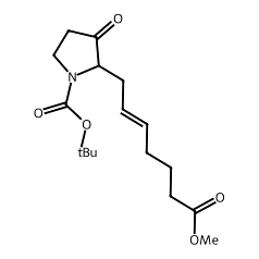 COC(=O)CCCC=CCC1C(=O)CCN1C(=O)OC(C)(C)C